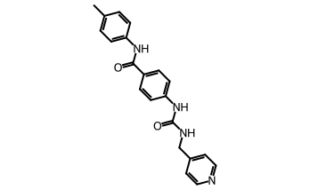 Cc1ccc(NC(=O)c2ccc(NC(=O)NCc3ccncc3)cc2)cc1